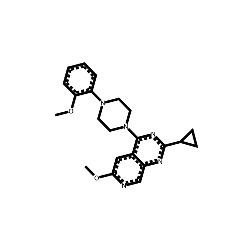 COc1cc2c(N3CCN(c4ccccc4OC)CC3)nc(C3CC3)nc2cn1